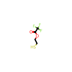 O=C(OCCS)C(F)(F)F